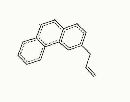 C=CCc1ccc2c[c]c3ccccc3c2c1